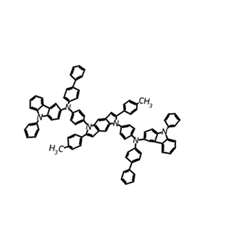 Cc1ccc(-c2cc3cc4c(cc(-c5ccc(C)cc5)n4-c4ccc(N(c5ccc(-c6ccccc6)cc5)c5ccc6c(c5)c5ccccc5n6-c5ccccc5)cc4)cc3n2-c2ccc(N(c3ccc(-c4ccccc4)cc3)c3ccc4c(c3)c3ccccc3n4-c3ccccc3)cc2)cc1